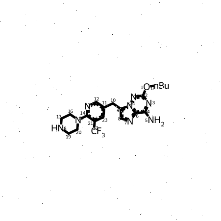 CCCCOc1nc(N)c2ncc(Cc3cnc(N4CCNCC4)c(C(F)(F)F)c3)n2n1